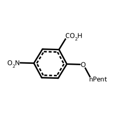 CCCCCOc1ccc([N+](=O)[O-])cc1C(=O)O